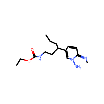 CCCC(CCNC(=O)OCC)c1cc/c(=N/C)n(N)c1